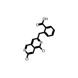 O=C(O)c1ccccc1Cc1cc2cnc(Cl)cc2c(Cl)n1